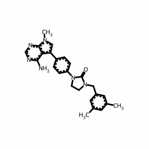 Cc1cc(C)cc(CN2CCN(c3ccc(-c4cn(C)c5ncnc(N)c45)cc3)C2=O)c1